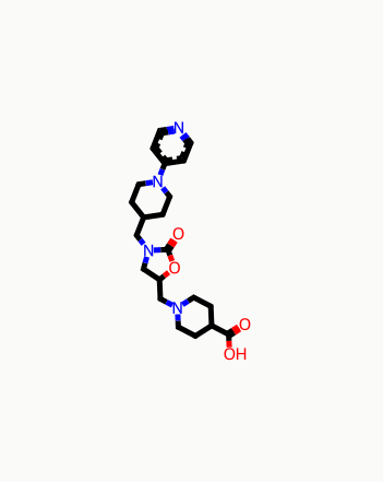 O=C(O)C1CCN(CC2CN(CC3CCN(c4ccncc4)CC3)C(=O)O2)CC1